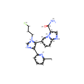 Cc1cccc(-c2ncn(CCCF)c2-c2ccc3ncc(C(N)=O)n3c2)n1